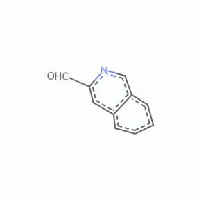 O=[C]c1cc2ccccc2cn1